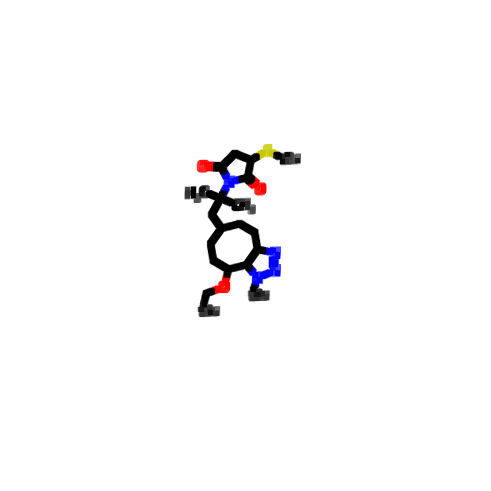 CC(C)(C)COC1CCC(CC(C)(C)N2C(=O)CC(SC(C)(C)C)C2=O)CCC2N=NN(C(C)(C)C)C21